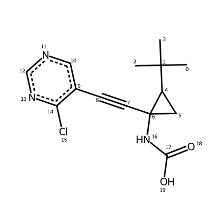 CC(C)(C)C1CC1(C#Cc1cncnc1Cl)NC(=O)O